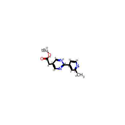 Cc1cc(-c2ncc(CC(=O)OC(C)(C)C)cn2)ccn1